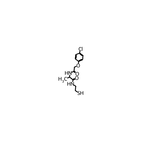 CC(NC(=O)COc1ccc(Cl)cc1)C(=O)NCCS